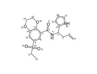 C=CCC(NC(=O)c1cc(S(=O)(=O)CC)cc2c1OCCO2)c1ccc[nH]1